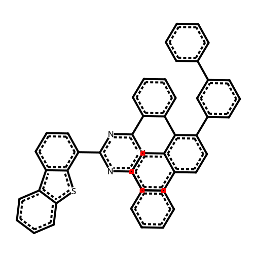 c1ccc(-c2cccc(-c3ccc4ccccc4c3-c3ccccc3-c3nc(-c4ccccc4)nc(-c4cccc5c4sc4ccccc45)n3)c2)cc1